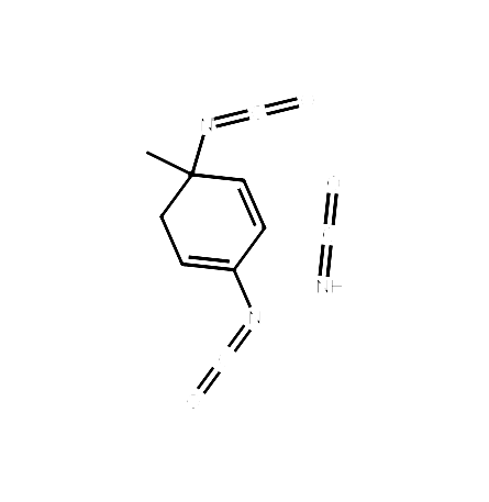 CC1(N=C=O)C=CC(N=C=O)=CC1.N=C=O